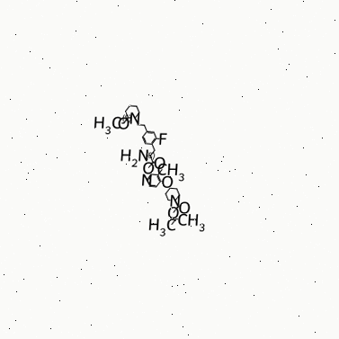 CO[C@H]1CCCCN1CCc1ccc(C[C@H](N)C(=O)Oc2nccc(OC3CCN(C(=O)OC(C)C)CC3)c2C)c(F)c1